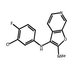 CNc1oc2cnccc2c1Nc1ccc(F)c(Cl)c1